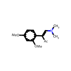 COc1ccc(C(=CN(C)C)C(C)=O)c(OC)c1